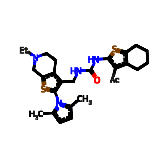 CCN1CCc2c(sc(-n3c(C)ccc3C)c2CNC(=O)Nc2sc3c(c2C(C)=O)CCCC3)C1